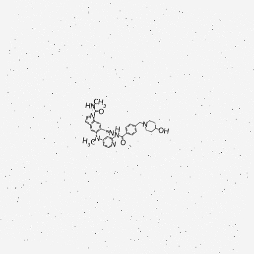 CNC(=O)n1ccc2cc(N(C)c3ccnc(NC(=O)c4ccc(CN5CCC(O)CC5)cc4)c3)c(C#N)cc21